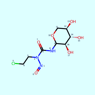 O=NN(CCCl)C(=O)NC1OC[C@@H](O)[C@H](O)[C@H]1O